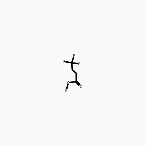 O=C(CCC(F)(F)F)OF